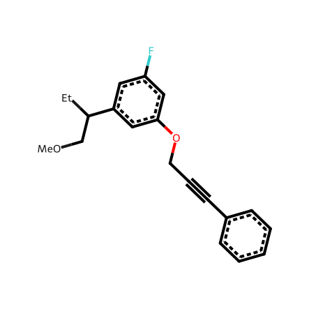 CCC(COC)c1cc(F)cc(OCC#Cc2ccccc2)c1